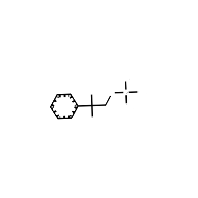 CC(C)(C)[Si](C)(C)OCC(F)(F)c1ccccc1